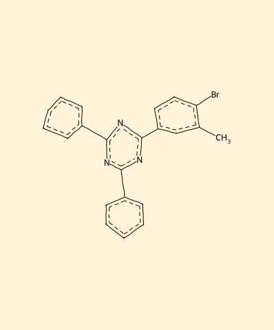 Cc1cc(-c2nc(-c3ccccc3)nc(-c3ccccc3)n2)ccc1Br